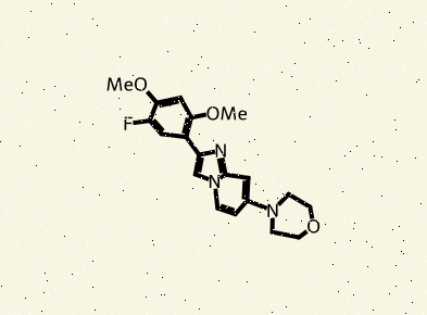 COc1cc(OC)c(-c2cn3ccc(N4CCOCC4)cc3n2)cc1F